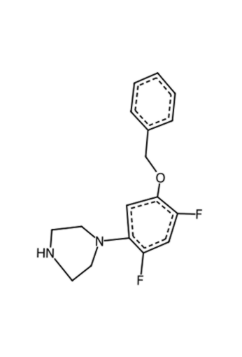 Fc1cc(F)c(N2CCNCC2)cc1OCc1ccccc1